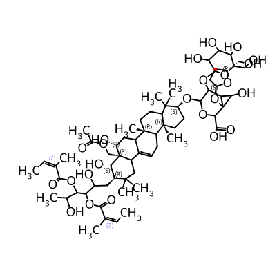 C/C=C(/C)C(=O)OC(C(C)O)C(OC(=O)/C(C)=C\C)C(O)C[C@H]1[C@H](O)[C@@]2(COC(C)=O)C(CC1(C)C)C1=CCC3[C@@](C)(CCC4C(C)(C)[C@@H](OC5OC(C(=O)O)C6(O[C@H]7CC[C@H](CO)O7)C(O)C6C5OC5OC(CO)C(O)C(O)C5O)CC[C@@]43C)C1C[C@H]2O